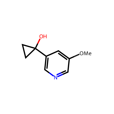 COc1cncc(C2(O)CC2)c1